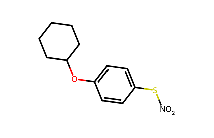 O=[N+]([O-])Sc1ccc(OC2CCCCC2)cc1